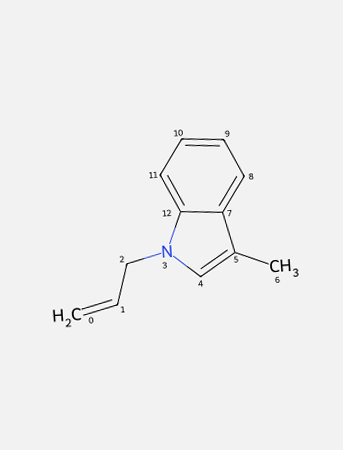 C=CCn1cc(C)c2ccccc21